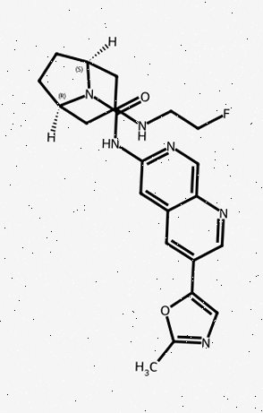 Cc1ncc(-c2cnc3cnc(NC(=O)N4[C@@H]5CC[C@H]4CC(NCCF)C5)cc3c2)o1